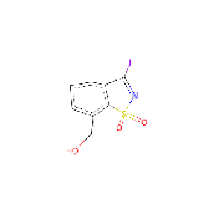 O=S1(=O)N=C(I)c2cccc(CO)c21